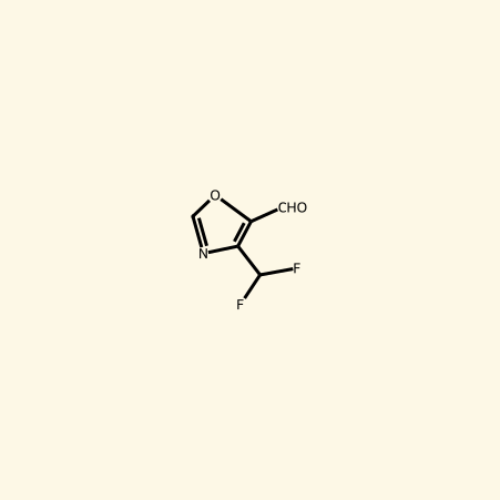 O=Cc1ocnc1C(F)F